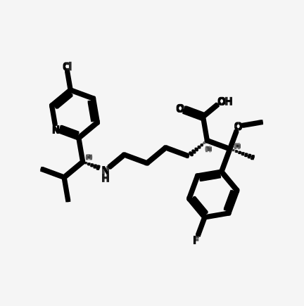 CO[C@@](C)(c1ccc(F)cc1)[C@H](CCCCN[C@@H](c1ccc(Cl)cn1)C(C)C)C(=O)O